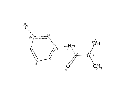 CN(O)C(=O)Nc1cccc(F)c1